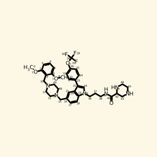 COc1cccc(OC)c1CN1CCN(Cc2ccc3c(c2)c(-c2ccc(OC(F)(F)F)cc2)cn3CCCNC(=O)C2CNCCN2)CC1